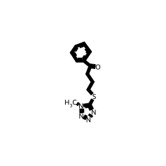 Cn1nnnc1SCCCC(=O)c1ccccc1